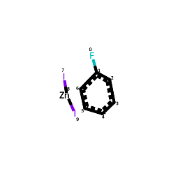 Fc1cc[c]cc1.[I][Zn][I]